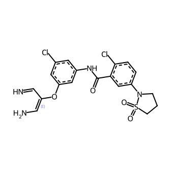 N=C/C(=C\N)Oc1cc(Cl)cc(NC(=O)c2cc(N3CCCS3(=O)=O)ccc2Cl)c1